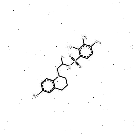 Cc1ccc2c(c1)CCCN2CC(NS(=O)(=O)c1ccc(C)c(C)c1C)C(C)C